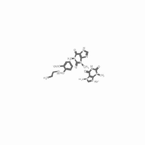 Cn1c(=O)c2[nH]cnc2n(C)c1=O.Cn1cnc2c1c(=O)[nH]c(=O)n2C.NCCO.O=C([O-])c1ccccc1O.[Na+]